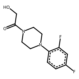 O=C(CO)N1CCN(c2ccc(F)cc2F)CC1